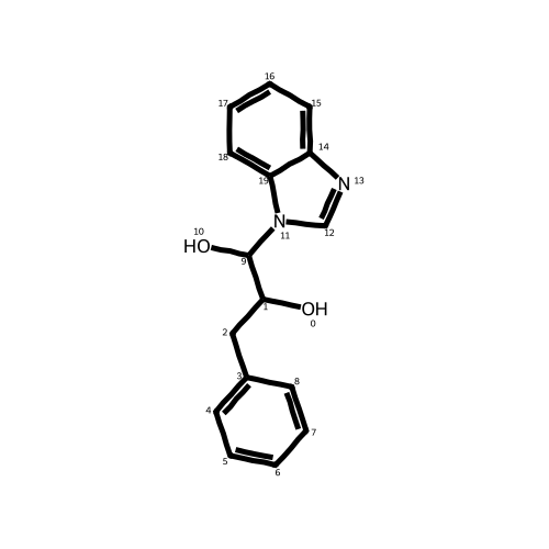 OC(Cc1ccccc1)C(O)n1cnc2ccccc21